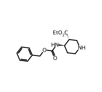 CCOC(=O)[C@@H]1CNCC[C@H]1NC(=O)OCc1ccccc1